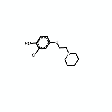 Oc1ccc(OCCN2CCCCC2)cc1Cl